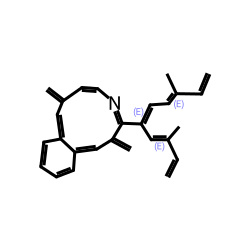 C=C/C(C)=C/C=C(\C=C(/C)C=C)c1nccc(=C)cc2ccccc2cc1=C